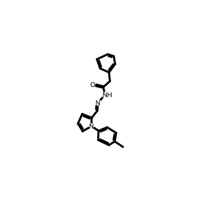 Cc1ccc(-n2cccc2/C=N/NC(=O)Cc2ccccc2)cc1